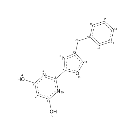 Oc1cc(O)nc(-c2nc(Cc3ccccc3)co2)n1